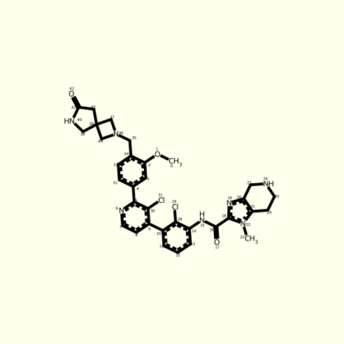 COc1cc(-c2nccc(-c3cccc(NC(=O)c4nc5c(n4C)CCNC5)c3Cl)c2Cl)ccc1CN1CC2(CNC(=O)C2)C1